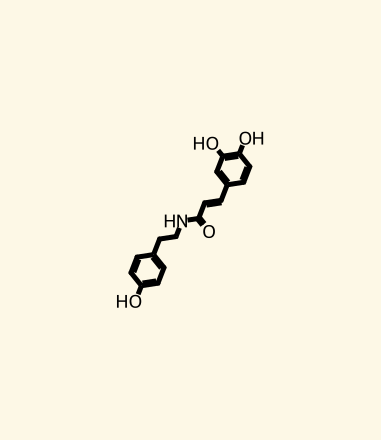 O=C(C=Cc1ccc(O)c(O)c1)NCCc1ccc(O)cc1